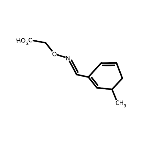 CC1C=C(/C=N/OCC(=O)O)C=CC1